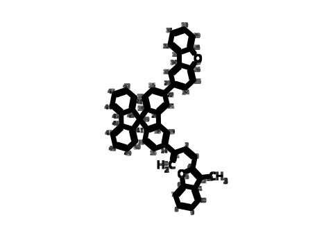 C=C(/C=C\c1oc2ccccc2c1C)c1ccc2c(c1)-c1cc(-c3ccc4oc5ccccc5c4c3)ccc1C21c2ccccc2-c2ccccc21